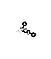 O=C(O)C(=Cc1ccc(-c2ccccc2)s1)NC(=O)c1ccccc1